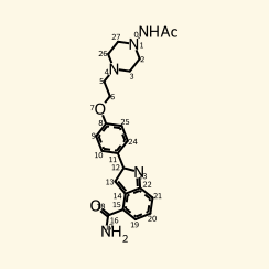 CC(=O)NN1CCN(CCOc2ccc(C3C=c4c(C(N)=O)cccc4=N3)cc2)CC1